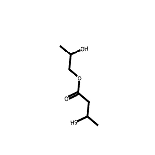 CC(O)COC(=O)CC(C)S